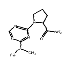 CN(C)c1ncnc(N2CCCC2C(N)=O)n1